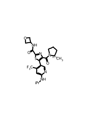 CC(C)Nc1cc(C(F)(F)F)c(-c2sc(C(=O)NC3COC3)nc2C(=O)N2CCC[C@@H]2C)cn1